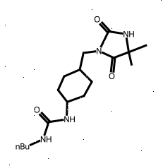 CCCCNC(=O)NC1CCC(CN2C(=O)NC(C)(C)C2=O)CC1